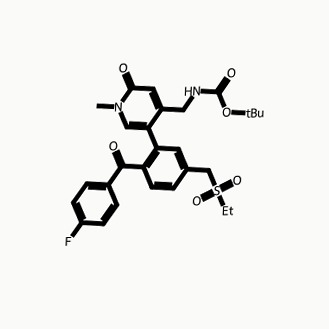 CCS(=O)(=O)Cc1ccc(C(=O)c2ccc(F)cc2)c(-c2cn(C)c(=O)cc2CNC(=O)OC(C)(C)C)c1